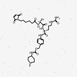 CC(C)[C@H](NC(=O)CCCCCN1C(=O)C=CC1=O)C(=O)N[C@@H](CCCNC(N)=O)C(=O)Nc1ccc(COC(=O)NC2CCN(C)CC2)cc1